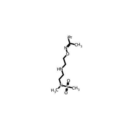 C/C(=N\OCCNCCN(C)S(C)(=O)=O)C(C)C